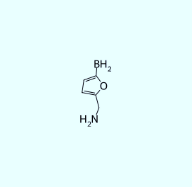 Bc1ccc(CN)o1